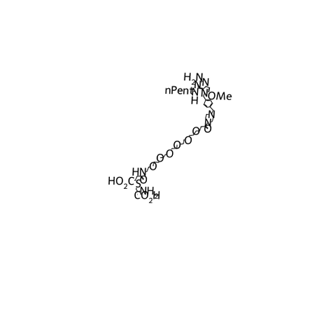 CCCCCNc1nc(N)nc2ccn(Cc3ccc(CN4CCN(C(=O)CCOCCOCCOCCOCCOCCOCCNC(=O)CC(SC[C@H](N)C(=O)O)C(=O)O)CC4)cc3OC)c12